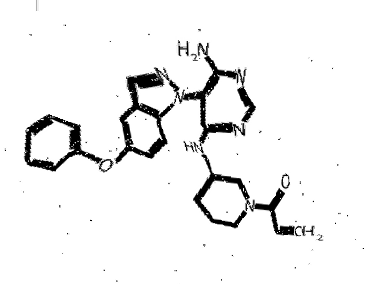 C=CC(=O)N1CCC[C@@H](Nc2ncnc(N)c2-n2ncc3cc(Oc4ccccc4)ccc32)C1